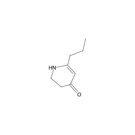 CCCC1=CC(=O)CCN1